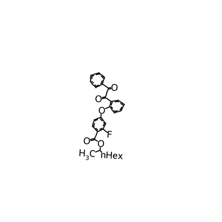 CCCCCCC(C)OC(=O)c1ccc(Oc2ccccc2C(=O)C(=O)c2ccccc2)cc1F